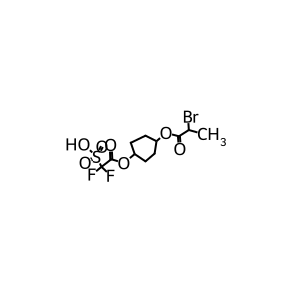 CC(Br)C(=O)OC1CCC(OC(=O)C(F)(F)S(=O)(=O)O)CC1